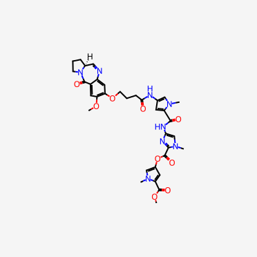 COC(=O)c1cc(OC(=O)c2nc(NC(=O)c3cc(NC(=O)CCCOc4cc5c(cc4OC)C(=O)N4CCC[C@H]4C=N5)cn3C)cn2C)cn1C